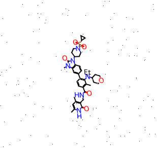 CCN(c1c(-c2ccc3c(c2)n(C)c(=O)n3C2CCN(S(=O)(=O)C3CC3)CC2)ccc(C(=O)NCc2c(C)cc(C)[nH]c2=O)c1C)C1CCOCC1